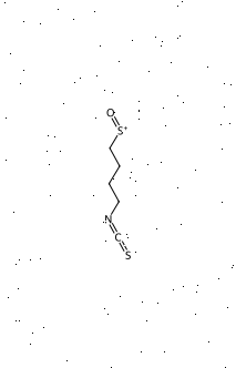 O=[S+]CCCCN=C=S